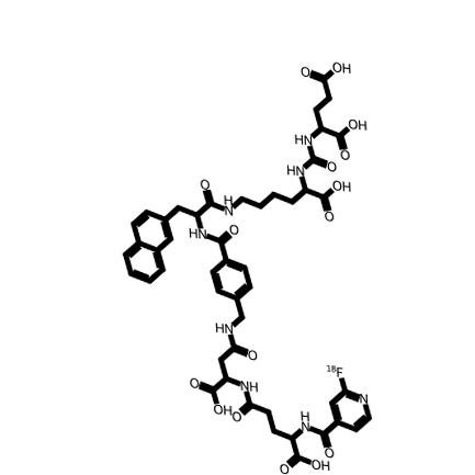 O=C(O)CCC(NC(=O)NC(CCCCNC(=O)C(Cc1ccc2ccccc2c1)NC(=O)c1ccc(CNC(=O)CC(NC(=O)CCC(NC(=O)c2ccnc([18F])c2)C(=O)O)C(=O)O)cc1)C(=O)O)C(=O)O